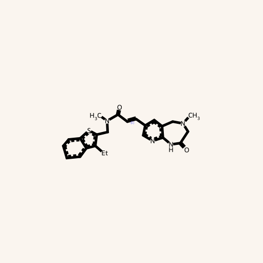 CCc1c(CN(C)C(=O)/C=C/c2cnc3c(c2)CN(C)CC(=O)N3)sc2ccccc12